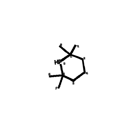 CC1(C)CCCC(C)(C)P1